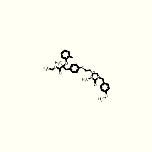 CCOC(=O)[C@](C)(Cc1ccc(OCC[C@H]2CN(Cc3ccc(OC)cc3)C(=O)N2C)cc1)Oc1ccccc1F